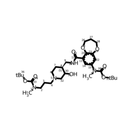 CN(CCCN1CC[C@@H](CNC(=O)c2cc(N(C)C(=O)OC(C)(C)C)cc3c2OCCCO3)C(O)C1)C(=O)OC(C)(C)C